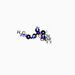 CSNc1ccc(CN2CCC(c3cn(-c4ccc(F)cc4C(=O)N(C)C(C)C)c4cnccc34)CC2)cc1